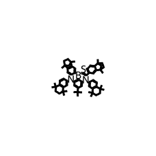 CC(C)(C)c1cc2c3c(c1)N(c1ccc4c(c1)C(C)(C)CCC4(C)C)c1c(sc4cc5c(cc14)C1(C)CCC5(C)C1)B3c1cc3c(cc1N2c1ccc2c(c1)C(C)(C)CCC2(C)C)C1(C)CCC3(C)C1